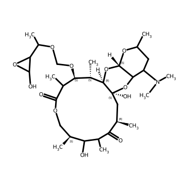 CC1CC(N(C)C)C2O[C@@]3(O)C[C@@H](C)C(=O)C(C)C(O)[C@@H](C)COC(=O)C(C)[C@@H](OCOC(C)C4OC4O)[C@H](C)[C@H]3O[C@@H]2O1